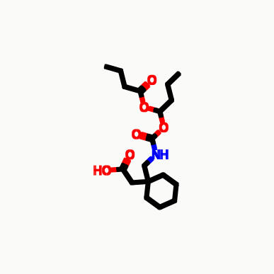 CCCC(=O)OC(CCC)OC(=O)NCC1(CC(=O)O)CCCCC1